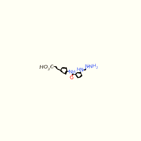 NN=CNc1cccc(C(=O)Nc2ccc(C=CC(=O)O)cc2)c1